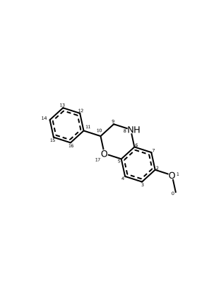 COc1ccc2c(c1)NCC(c1ccccc1)O2